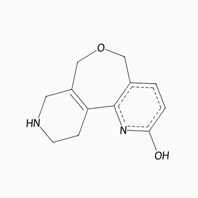 Oc1ccc2c(n1)C1=C(CNCC1)COC2